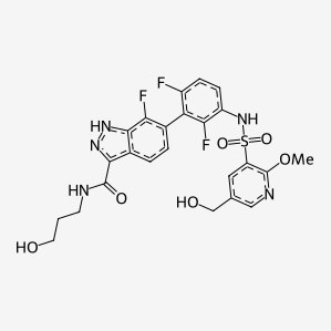 COc1ncc(CO)cc1S(=O)(=O)Nc1ccc(F)c(-c2ccc3c(C(=O)NCCCO)n[nH]c3c2F)c1F